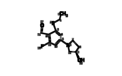 CCSc1cc(N2CC[C@@H](O)C2)cc(F)c1C=O